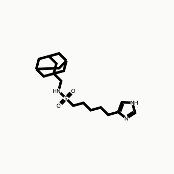 O=S(=O)(CCCCCc1c[nH]cn1)NCC12CC3CC(CC(C3)C1)C2